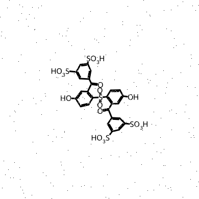 O=C(c1cc(S(=O)(=O)O)cc(S(=O)(=O)O)c1)c1cc(O)ccc1S(=O)(=O)c1ccc(O)cc1C(=O)c1cc(S(=O)(=O)O)cc(S(=O)(=O)O)c1